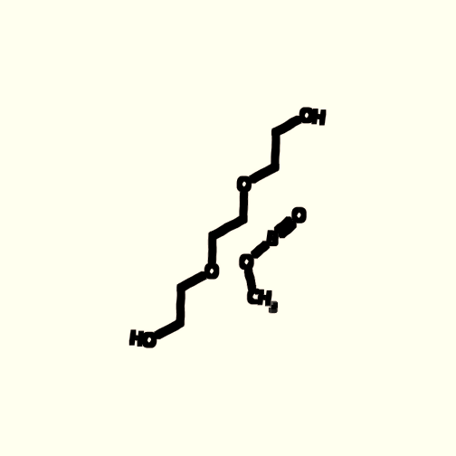 COB=O.OCCOCCOCCO